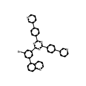 Brc1cc(-c2nc(-c3ccc(-c4cccnc4)cc3)nc(-c3ccc(-c4cccnc4)cc3)n2)cc(-c2cccc3ncccc23)c1